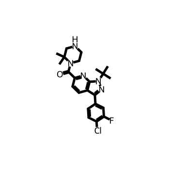 CC1(C)CNCCN1C(=O)c1ccc2c(-c3ccc(Cl)c(F)c3)nn(C(C)(C)C)c2n1